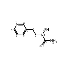 NC(=O)N(S)CCc1cccnc1